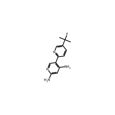 CC(C)(F)c1ccc(-c2cnc(N)cc2N)nc1